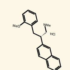 CNC[C@@H](Cc1ccccc1OC)c1ccc2ccccc2c1.Cl